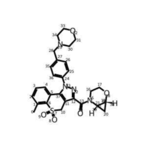 Cc1cccc2c1S(=O)(=O)Cc1c(C(=O)N3CCO[C@@H]4C[C@@H]43)nn(-c3ccc(CN4CCOCC4)cc3)c1-2